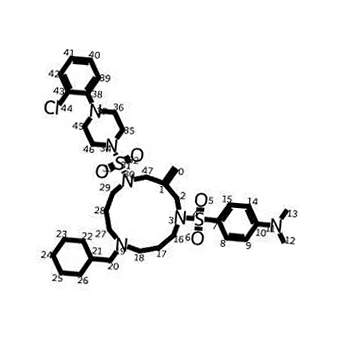 C=C1CN(S(=O)(=O)c2ccc(N(C)C)cc2)CCCN(CC2CCCCC2)CCCN(S(=O)(=O)N2CCN(c3ccccc3Cl)CC2)C1